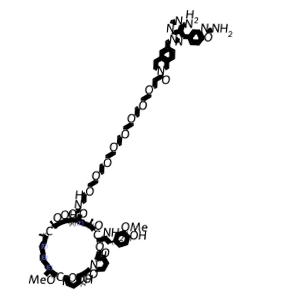 CO[C@H]1C[C@@H]2CC[C@@H](C)[C@@](O)(O2)C(=O)C(=O)N2CCCC[C@H]2C(=O)O[C@H]([C@H](N)C[C@@H]2CC[C@@H](O)[C@H](OC)C2)CC(=O)[C@H](C)/C=C(\C)[C@@H](OC(=O)NCCOCCOCCOCCOCCOCCOCCOCCOCCC(=O)N2CCc3cc(Cn4nc(-c5ccc6oc(N)nc6c5)c5c(N)ncnc54)ccc3C2)[C@@H](O)C(=O)[C@H](C)C[C@H](C)/C=C/C=C/C=C/1C